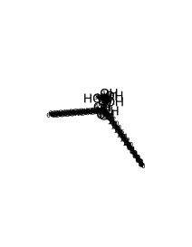 CCCCCCCCCCCCCCCCCCCCCCCCCC(=O)N[C@@H](CC[C@H]1O[C@H](CO)[C@H](O)[C@H](O)[C@H]1O)[C@H](O)[C@H](O)CCCCCCCCCCCCCCCCCCC